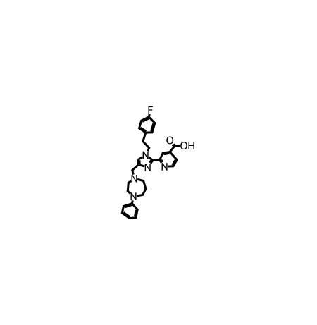 O=C(O)c1ccnc(-c2nc(CN3CCCN(c4ccccc4)CC3)cn2CCc2ccc(F)cc2)c1